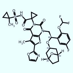 Cc1c(-c2ncco2)sc2c1c(=O)n(C1(C(=O)NS(=O)(=O)C3(C)CC3)CC1)c(=O)n2C[C@H](O[C@@H]1C[C@H]2CC[C@@H](C1)O2)c1cc(F)ccc1OC(F)F